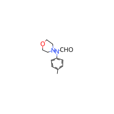 Cc1ccc(N(C=O)N2CCOCC2)cc1